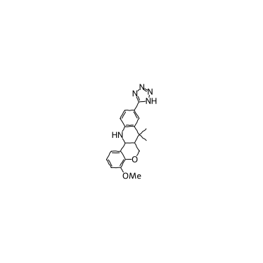 COc1cccc2c1OCC1C2Nc2ccc(-c3nnn[nH]3)cc2C1(C)C